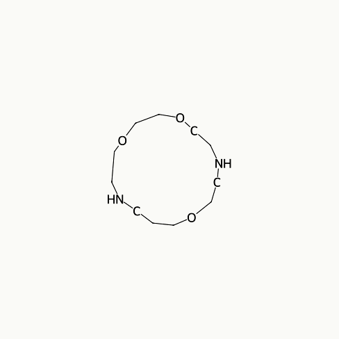 C1CNCCOCCOCCNCCOC1